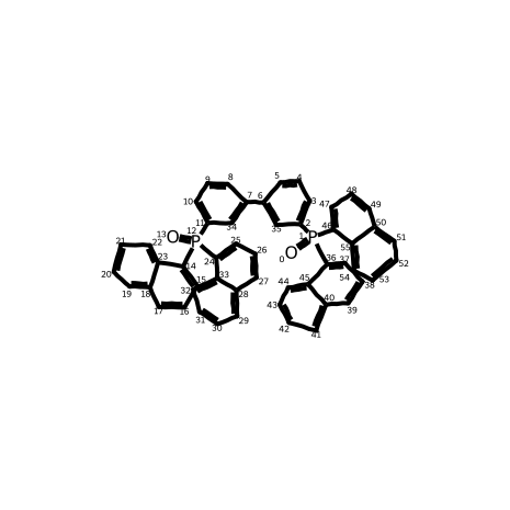 O=P(c1cccc(-c2cccc(P(=O)(c3cccc4ccccc34)c3cccc4ccccc34)c2)c1)(c1cccc2ccccc12)c1cccc2ccccc12